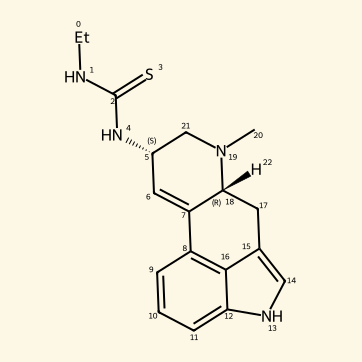 CCNC(=S)N[C@H]1C=C2c3cccc4[nH]cc(c34)C[C@H]2N(C)C1